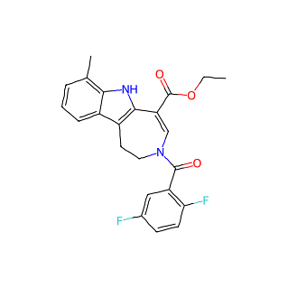 CCOC(=O)C1=CN(C(=O)c2cc(F)ccc2F)CCc2c1[nH]c1c(C)cccc21